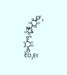 CCOC(=O)COc1ccc(SCc2cnc(-c3ccc(C(F)(F)F)cc3)s2)cc1